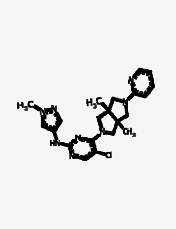 Cn1cc(Nc2ncc(Cl)c(N3CC4(C)CN(c5ccccn5)CC4(C)C3)n2)cn1